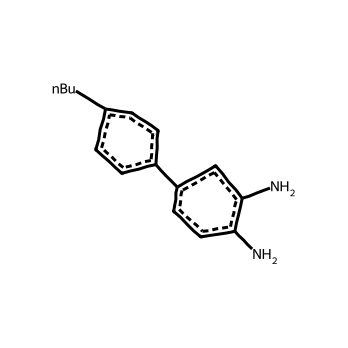 CCCCc1ccc(-c2ccc(N)c(N)c2)cc1